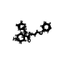 O=C(NCCOc1ccccc1)C1(Cc2nccs2)CCNCC1